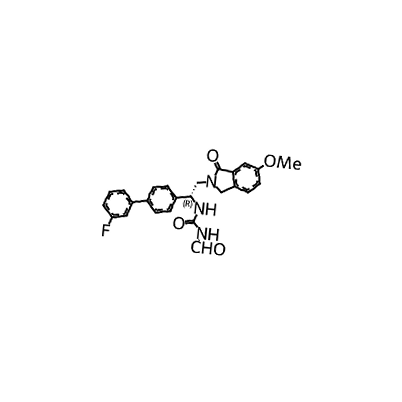 COc1ccc2c(c1)C(=O)N(C[C@H](NC(=O)NC=O)c1ccc(-c3cccc(F)c3)cc1)C2